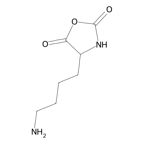 NCCCCC1NC(=O)OC1=O